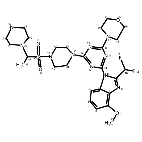 COc1cccc2c1nc(C(F)F)n2-c1nc(N2CCOCC2)nc(N2CCN(S(=O)(=O)C(C)N3CC[N]CC3)CC2)n1